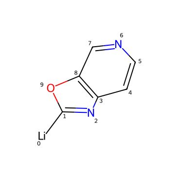 [Li][c]1nc2ccncc2o1